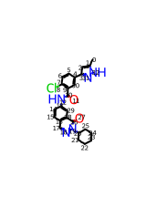 Cc1cc(-c2ccc(Cl)c(C(=O)Nc3ccc4cnn(C5CCCCC5)c(=O)c4c3)c2)n[nH]1